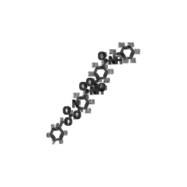 O=C(OCc1ccccc1)Oc1ccc(C(=O)NS(=O)(=O)c2ccc(C(=O)NCc3ccccc3)cc2)cn1